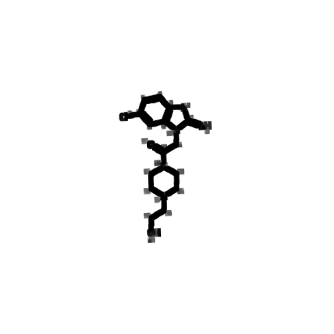 N=c1sc2ccc(Cl)cc2n1CC(=O)N1CCN(CCO)CC1